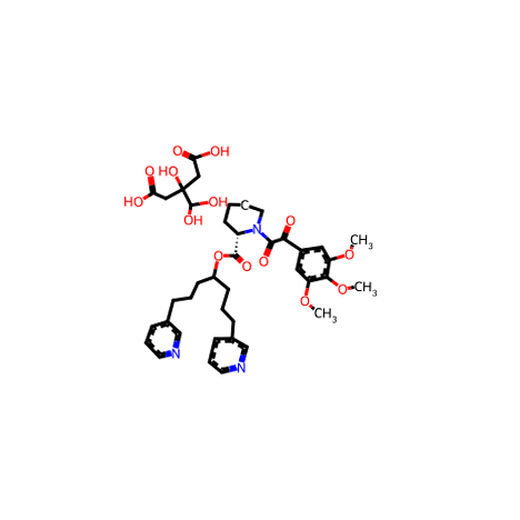 COc1cc(C(=O)C(=O)N2CCCC[C@H]2C(=O)OC(CCCc2cccnc2)CCCc2cccnc2)cc(OC)c1OC.O=C(O)CC(O)(CC(=O)O)C(O)O